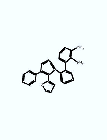 Nc1cccc(-c2ccccc2-c2cccc(-c3ccccc3)c2-c2cccs2)c1N